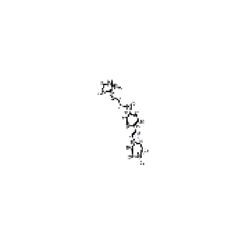 CN(CCSc1n(C)cn[n+]1C)c1ccc(/C=C/c2cc[n+](C)cc2)cc1